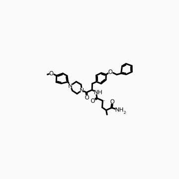 COc1ccc(N2CCN(C(=O)C(Cc3ccc(OCc4ccccc4)cc3)NC(=O)[CH]CC(C)C(N)=O)CC2)cc1